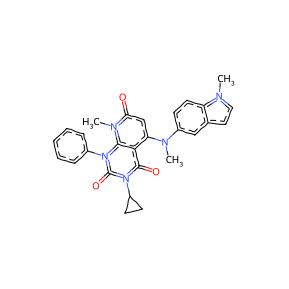 CN(c1ccc2c(ccn2C)c1)c1cc(=O)n(C)c2c1c(=O)n(C1CC1)c(=O)n2-c1ccccc1